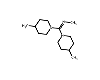 CN=C(N1CCC(C)CC1)N1CCC(C)CC1